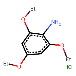 CCOc1cc(OCC)c(N)c(OCC)c1.Cl